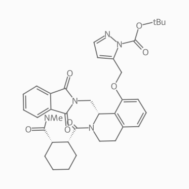 CNC(=O)[C@H]1CCCC[C@H]1C(=O)N1CCc2cccc(OCc3ccnn3C(=O)OC(C)(C)C)c2[C@H]1CN1C(=O)c2ccccc2C1=O